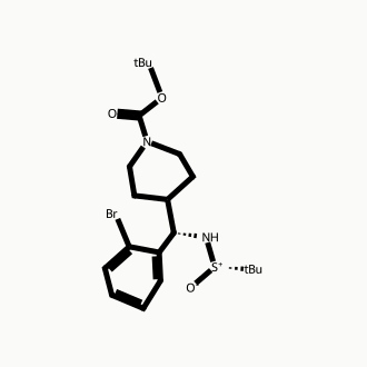 CC(C)(C)OC(=O)N1CCC([C@H](N[S@@+]([O-])C(C)(C)C)c2ccccc2Br)CC1